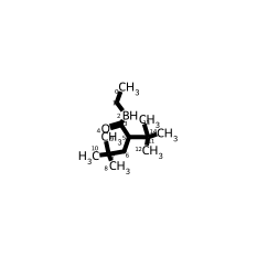 CCBC(=O)C(CC(C)(C)C)C(C)(C)C